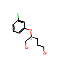 OCCC[C@@H](CO)Oc1cccc(Cl)c1